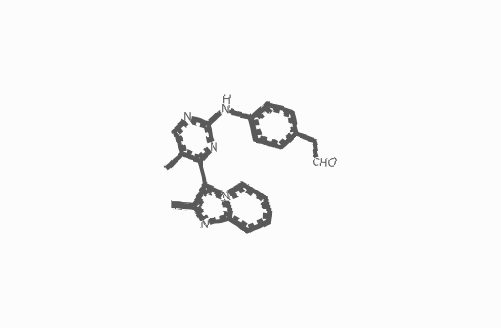 Cc1cnc(Nc2ccc(CC=O)cc2)nc1-c1c(C)nc2ccccn12